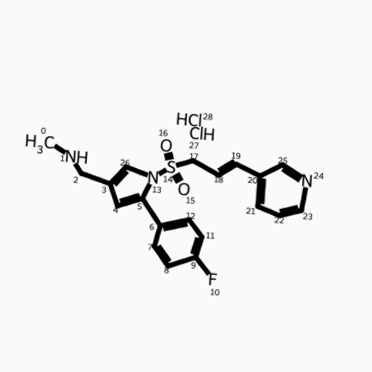 CNCc1cc(-c2ccc(F)cc2)n(S(=O)(=O)CC=Cc2cccnc2)c1.Cl.Cl